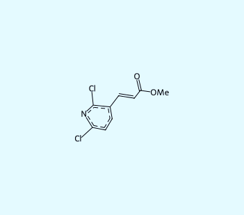 COC(=O)C=Cc1ccc(Cl)nc1Cl